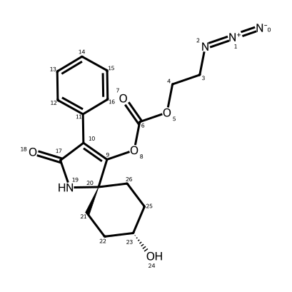 [N-]=[N+]=NCCOC(=O)OC1=C(c2ccccc2)C(=O)N[C@]12CC[C@@H](O)CC2